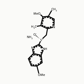 COc1ccc2nc([S@+]([O-])Cc3ncc(C)c(OC)c3C)[nH]c2c1.N